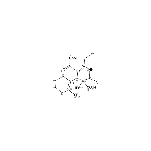 COC(=O)C1=C(CF)NC(C)C(C(=O)O)(C(C)C)C1C1=C(C(F)(F)F)CCCC1